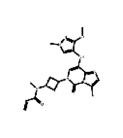 C=CC(=O)N(C)C1CC(n2cc(Nc3cn(C)nc3OC)c3ncc(C)n3c2=O)C1